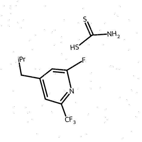 CC(C)Cc1cc(F)nc(C(F)(F)F)c1.NC(=S)S